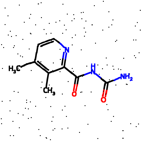 Cc1ccnc(C(=O)NC(N)=O)c1C